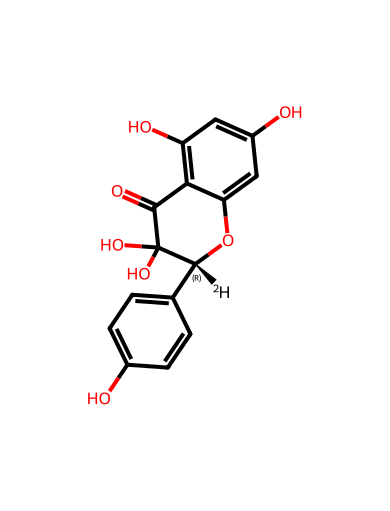 [2H][C@]1(c2ccc(O)cc2)Oc2cc(O)cc(O)c2C(=O)C1(O)O